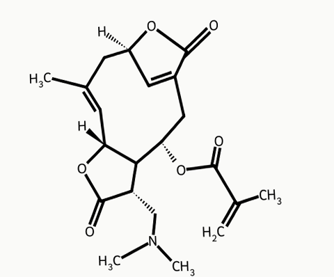 C=C(C)C(=O)O[C@H]1CC2=C[C@@H](C/C(C)=C/[C@H]3OC(=O)[C@@H](CN(C)C)C13)OC2=O